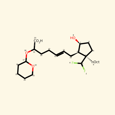 CCCCCCCC[C@@]1([C](F)F)CC[C@H](O)[C@@H]1CC=CCCC(OC1CCCCO1)C(=O)O